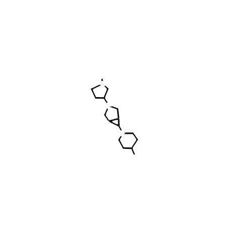 CC1CCN(C2C3CN(C4CCN(C)C4)CC32)CC1